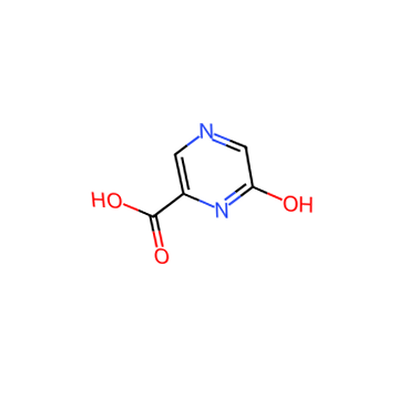 O=C(O)c1cncc(O)n1